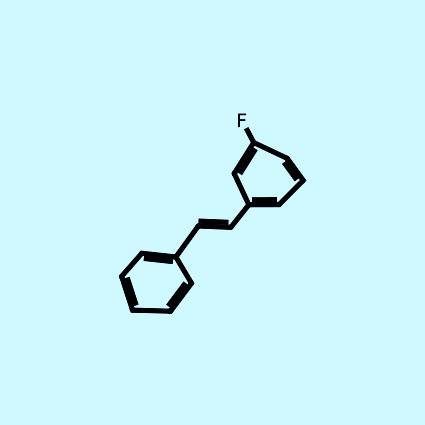 Fc1cccc(C=Cc2ccccc2)c1